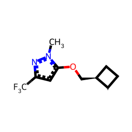 Cn1nc(C(F)(F)F)cc1OC[C@@H]1[CH]CC1